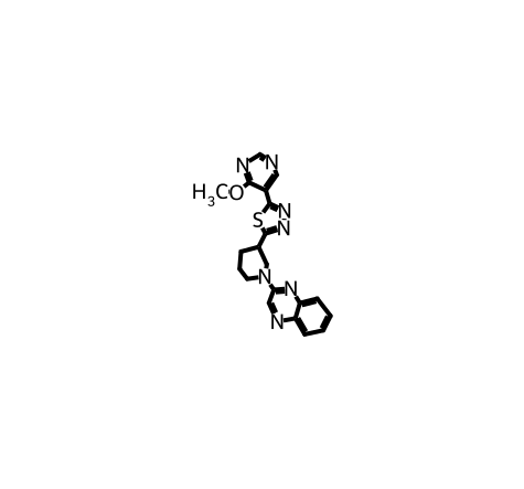 COc1ncncc1-c1nnc(C2CCCN(c3cnc4ccccc4n3)C2)s1